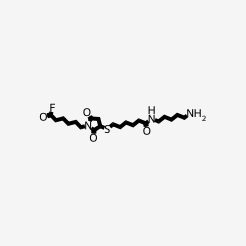 NCCCCCNC(=O)CCCCCSC1CC(=O)N(CCCCCC(=O)F)C1=O